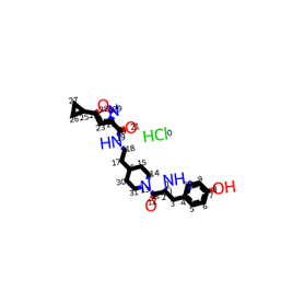 Cl.N[C@@H](Cc1ccc(O)cc1)C(=O)N1CCC(CCNC(=O)c2cc(C3CC3)on2)CC1